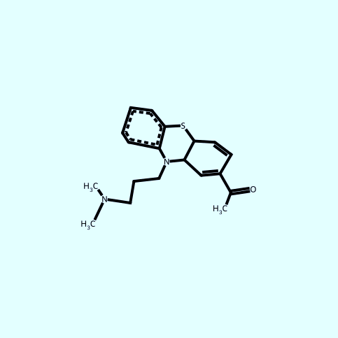 CC(=O)C1=CC2C(C=C1)Sc1ccccc1N2CCCN(C)C